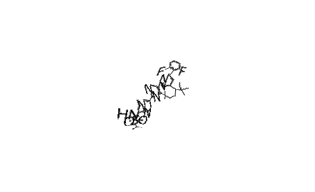 CC(C)S(=O)(=O)Nc1ncc(-c2nccc([C@@]3(C)CC[C@H](C(C)(C)C)c4cc(-c5c(F)cccc5F)nnc43)n2)cn1